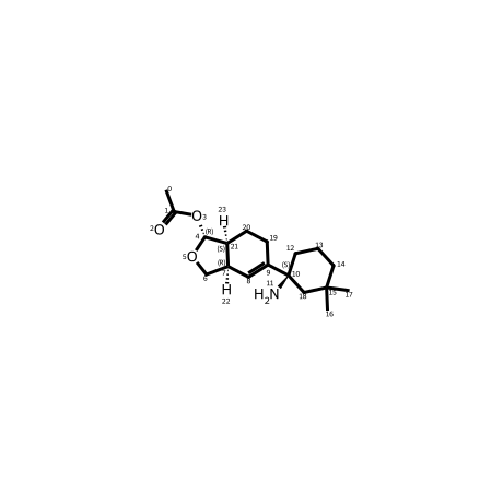 CC(=O)O[C@H]1OC[C@@H]2C=C([C@]3(N)CCCC(C)(C)C3)CC[C@H]12